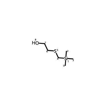 C[Si](C)(C)CSCCO